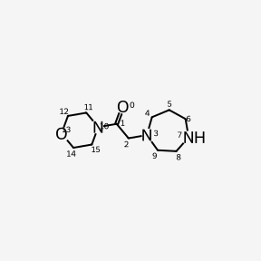 O=C(CN1CCCNCC1)N1CCOCC1